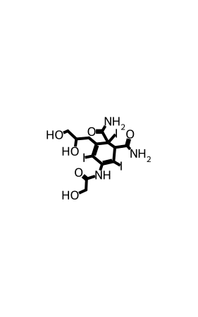 NC(=O)C1C(I)=C(NC(=O)CO)C(I)=C(CC(O)CO)C1(I)C(N)=O